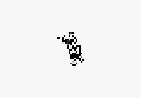 CCNC(=O)[C@@H](NC(=O)c1c(Cl)c2cc(NC(=O)c3ccccc3-c3ccc(CF)cc3)ccc2n1C)c1ccccc1